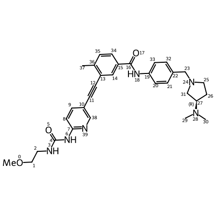 COCCNC(=O)Nc1ccc(C#Cc2cc(C(=O)Nc3ccc(CN4CC[C@@H](N(C)C)C4)cc3)ccc2C)cn1